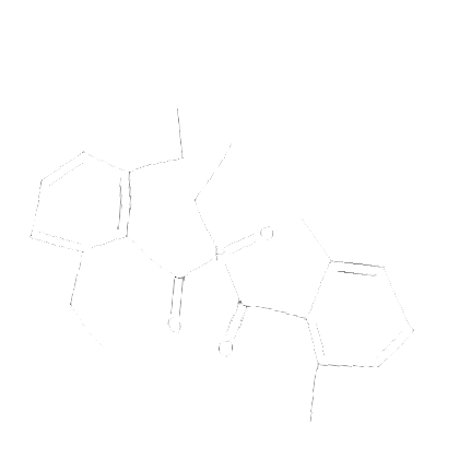 CCc1cccc(CC)c1C(=O)P(=O)(CC)C(=O)c1c(C)cccc1C